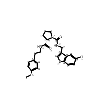 COc1ccc(CCNC(=O)[C@@H]2CCCN2C(=O)NCc2csc3ccc(Cl)cc23)cc1